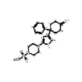 CCCCCCCCS(=O)(=O)N1CCN(c2nc(C3(c4ccccc4)CCC(=O)CC3)ns2)CC1